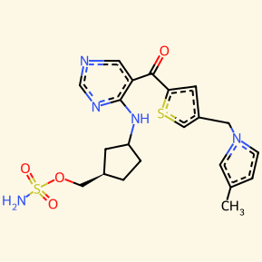 Cc1ccn(Cc2csc(C(=O)c3cncnc3NC3CC[C@@H](COS(N)(=O)=O)C3)c2)c1